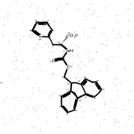 O=C(N[C@H](Cc1ccccn1)C(=O)O)OCC1c2ccccc2-c2ccccc21